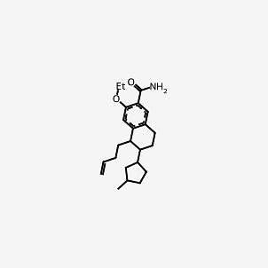 C=CCCC1c2cc(OCC)c(C(N)=O)cc2CCC1C1CCC(C)C1